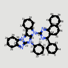 c1ccc(-c2nc(-n3c4ccccc4c4c3n(-c3ccccc3)c3nc5ccccc5n43)nc3c2ccc2ccccc23)cc1